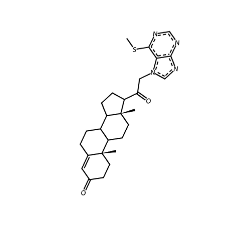 CSc1ncnc2ncn(CC(=O)C3CCC4C5CCC6=CC(=O)CC[C@@]6(C)C5CC[C@@]34C)c12